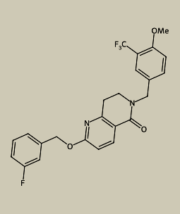 COc1ccc(CN2CCc3nc(OCc4cccc(F)c4)ccc3C2=O)cc1C(F)(F)F